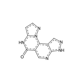 O=c1[nH]c2ccnn2c2c1cnc1[nH]ncc12